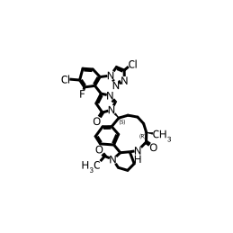 CC(=O)N1CCCC2NC(=O)[C@H](C)CCC[C@H](n3cnc(-c4c(-n5cc(Cl)nn5)ccc(Cl)c4F)cc3=O)c3cccc(c3)C21